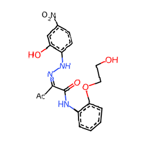 CC(=O)/C(=N/Nc1ccc([N+](=O)[O-])cc1O)C(=O)Nc1ccccc1OCCO